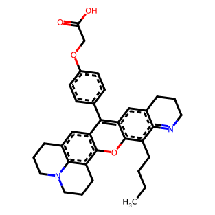 CCCCc1c2c(cc3c1=NCCC3)=C(c1ccc(OCC(=O)O)cc1)c1cc3c4c(c1O2)CCCN4CCC3